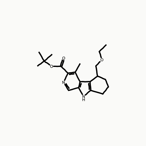 CCOCC1CCCc2[nH]c3cnc(C(=O)OC(C)(C)C)c(C)c3c21